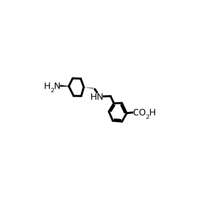 N[C@H]1CC[C@H](CNCc2cccc(C(=O)O)c2)CC1